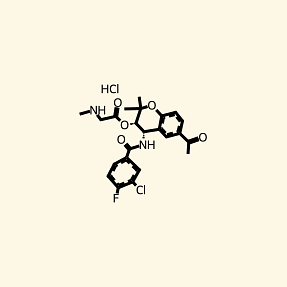 CNCC(=O)O[C@H]1[C@@H](NC(=O)c2ccc(F)c(Cl)c2)c2cc(C(C)=O)ccc2OC1(C)C.Cl